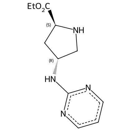 CCOC(=O)[C@@H]1C[C@@H](Nc2ncccn2)CN1